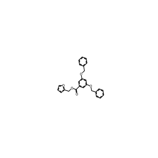 O=C(OCc1ccco1)c1cc(OCc2ccccc2)cc(OCc2ccccc2)c1